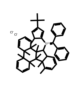 CC1=CC=CC2[CH]([Ti+2]([C]3=CC(C(C)(C)C)=CC3C)=[C](c3ccccc3)c3ccccc3)C3(C)C4(C)C=CC=CC4(C)C4(C)C=CC=CC4(C)C3(C)C12C.[Cl-].[Cl-]